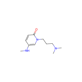 CNc1ccc(=O)n(CCCN(C)C)c1